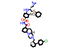 CN(C)CC[C@H](CSc1ccccc1)Nc1ccc(S(=O)(=O)NC(=O)c2cccc3c2CC[C@H]2CN(Cc4ccccc4-c4ccc(Cl)cc4)CCN32)cc1[N+](=O)[O-]